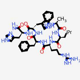 CC(C)C[C@H](NC(=O)[C@H](C)N)C(=O)N[C@@H](CCCNC(=N)N)C(=O)N[C@@H](Cc1ccccc1)C(=O)N[C@@H](Cc1c[nH]c2ccccc12)C(=O)N[C@@H](Cc1c[nH]cn1)C(N)=O